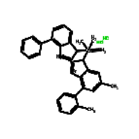 CC1=Cc2c(-c3ccccc3C)cc(C)cc2[CH]1[Zr]([CH3])([CH3])(=[SiH2])[CH]1C(C(C)C)=Cc2c(-c3ccccc3)cccc21.Cl.Cl